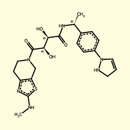 CNc1nc2c(s1)CN(C(=O)[C@H](O)[C@@H](O)C(=O)N[C@H](C)c1ccc(N3C=CCN3)cc1)CC2